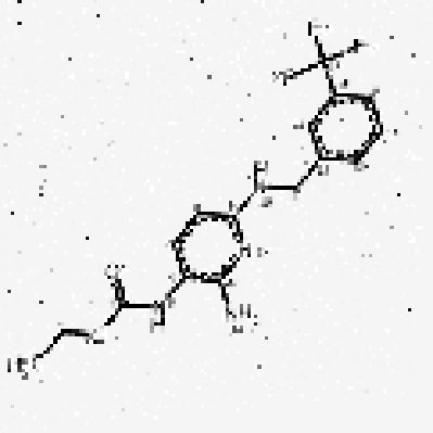 CCOC(=O)Nc1ccc(NCc2cccc(C(F)(F)F)c2)nc1N